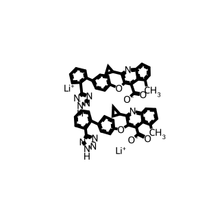 Cc1cccc2nc(C3CC3)c(Oc3ccc(-c4ccccc4-c4nn[nH]n4)cc3)c(C(=O)[O-])c12.Cc1cccc2nc(C3CC3)c(Oc3ccc(-c4ccccc4-c4nn[nH]n4)cc3)c(C(=O)[O-])c12.[Li+].[Li+]